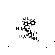 COc1cc(-c2ccccc2)c(OC)c(C(C)C#Cc2c(C)nc(N)nc2N)c1